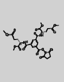 COC(=O)CC[C@H](NC(=O)c1cc(C(=O)N[C@@H](CCC(=O)OC)C(=O)OC)cc(C(=O)ON2C(=O)CCC2=O)c1)C(=O)OC